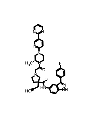 C#CCC1(C(=O)Nc2ccc3[nH]nc(-c4ccc(F)cc4)c3c2)CCN(CC(=O)N2CCN(c3ccc(-c4ncccn4)cn3)C[C@H]2C)C1